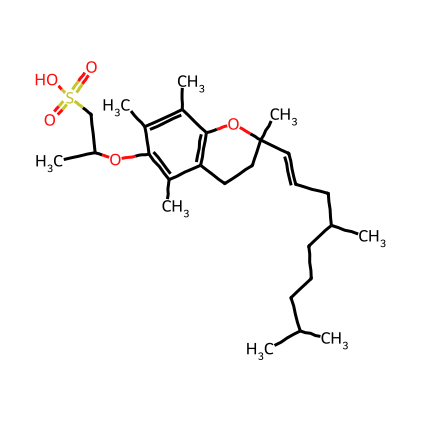 Cc1c(C)c2c(c(C)c1OC(C)CS(=O)(=O)O)CCC(C)(C=CCC(C)CCCC(C)C)O2